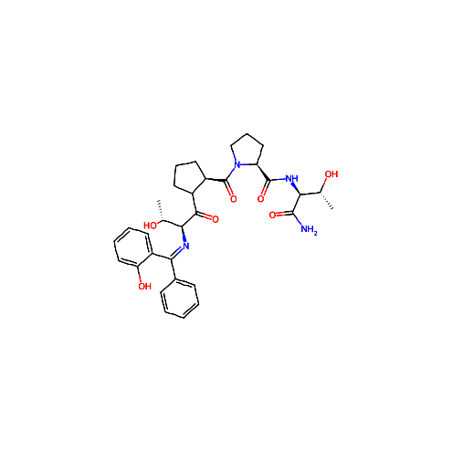 C[C@@H](O)[C@H](N=C(c1ccccc1)c1ccccc1O)C(=O)C1CCC[C@H]1C(=O)N1CCC[C@H]1C(=O)N[C@H](C(N)=O)[C@@H](C)O